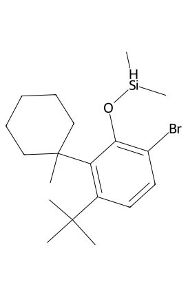 C[SiH](C)Oc1c(Br)ccc(C(C)(C)C)c1C1(C)CCCCC1